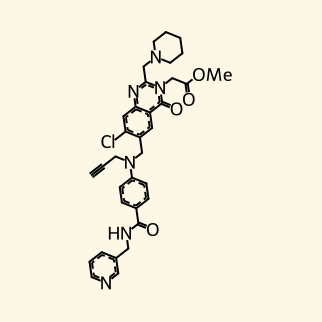 C#CCN(Cc1cc2c(=O)n(CC(=O)OC)c(CN3CCCCC3)nc2cc1Cl)c1ccc(C(=O)NCc2cccnc2)cc1